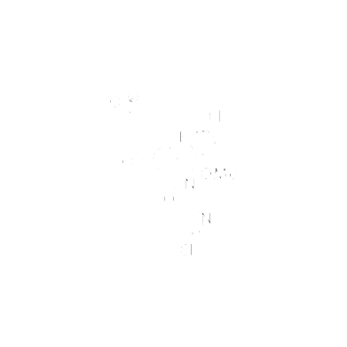 COC1(c2ccc(Cl)cc2)c2c(F)cc(C(=O)C3CCS(=O)(=O)CC3)cc2C(=O)N1Cc1ccc(Cl)cn1